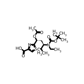 CCN(C(=O)OC(C)(C)C)[C@H](C[C@@H](OC(C)=O)c1nc(C(=O)O)cs1)C(C)C